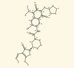 C/C=C\C1=C(CC)CN([C@@H]2CCCN(C(=O)Nc3cc4c(=O)n(CC5CCCO5)c(=O)n(C(C)C)c4cc3F)C2)C1=O